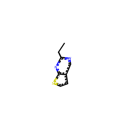 CCc1ncc2ccsc2n1